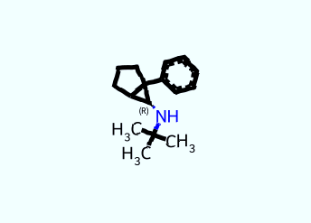 CC(C)(C)N[C@@H]1C2CCCC21c1ccccc1